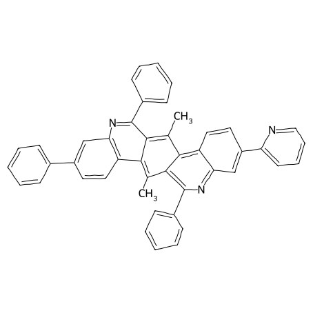 Cc1c2c(-c3ccccc3)nc3cc(-c4ccccn4)ccc3c2c(C)c2c(-c3ccccc3)nc3cc(-c4ccccc4)ccc3c12